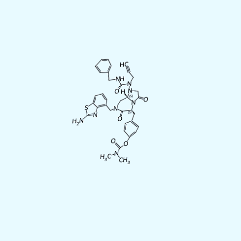 C#CCN(C(=O)NCc1ccccc1)N1CC(=O)N2[C@@H](Cc3ccc(OC(=O)N(C)C)cc3)C(=O)N(Cc3cccc4sc(N)nc34)C[C@@H]21